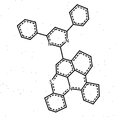 c1ccc(-c2cc(-c3ccccc3)nc(-c3cc4sc5ccccc5n5c6ccccc6c6cccc3c6c4-5)n2)cc1